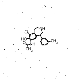 CC(=O)Nc1cc2c(c(Cl)c1O)CCNCC2c1cccc(C)c1